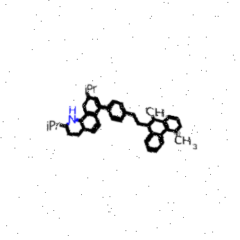 CC(C)C1C=C(c2ccc(CCC3c4ccccc4C4=C(C=CC[C@@H]4C)C3C)cc2)C2=C(C1)C1NC(C(C)C)CCC1C=C2